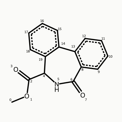 COC(=O)C1NC(=O)c2ccccc2-c2ccccc21